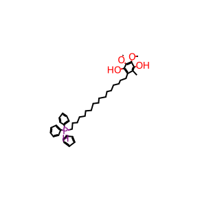 COc1c(O)c(C)c(CCCCCCCCCCCCCCCCC[PH](c2ccccc2)(c2ccccc2)c2ccccc2)c(O)c1OC